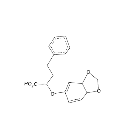 O=C(O)C(CCc1ccccc1)OC1=CC2OCOC2C=C1